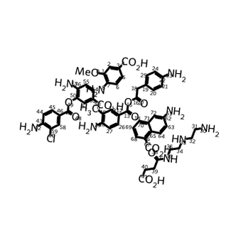 COc1cc(C(=O)O)ccc1N.Cc1cc(C(=O)OC(=O)Cc2ccc(N)cc2)ccc1N.NCCNCCNC(=O)CCC(=O)O.Nc1ccc(C(=O)Oc2cc(C(=O)O)ccc2N)cc1Cl.Nc1ccc2c(C(=O)O)cccc2c1